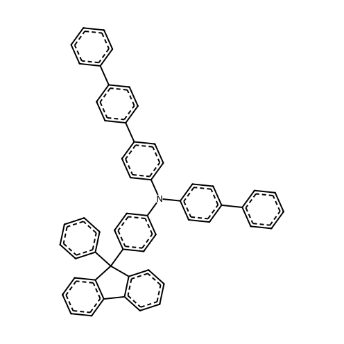 c1ccc(-c2ccc(-c3ccc(N(c4ccc(-c5ccccc5)cc4)c4ccc(C5(c6ccccc6)c6ccccc6-c6ccccc65)cc4)cc3)cc2)cc1